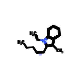 C=Cn1c(/C=C\CCC)c(C)c2ccccc21